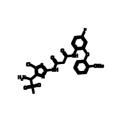 COc1ccccc1Oc1cc(F)ccc1NC(=O)CC(=O)Nc1nc(C(N)S(C)(=O)=O)c(Cl)s1